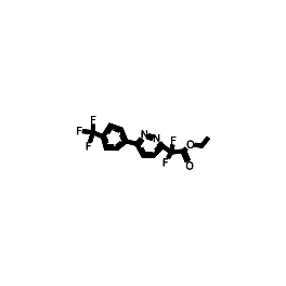 CCOC(=O)C(F)(F)c1ccc(-c2ccc(C(F)(F)F)cc2)nn1